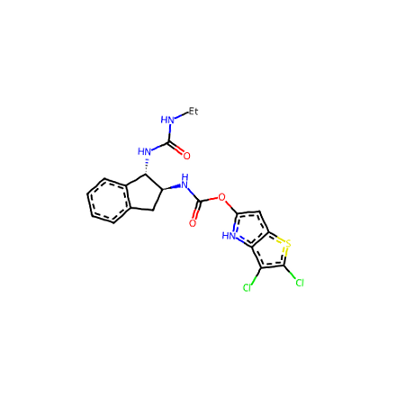 CCNC(=O)N[C@H]1c2ccccc2C[C@@H]1NC(=O)Oc1cc2sc(Cl)c(Cl)c2[nH]1